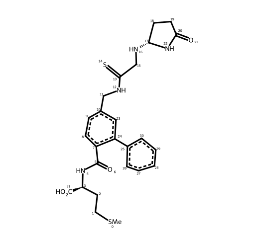 CSCC[C@H](NC(=O)c1ccc(CNC(=S)CN[C@@H]2CCC(=O)N2)cc1-c1ccccc1)C(=O)O